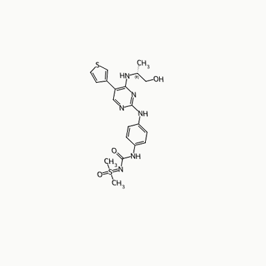 C[C@H](CO)Nc1nc(Nc2ccc(NC(=O)N=S(C)(C)=O)cc2)ncc1-c1ccsc1